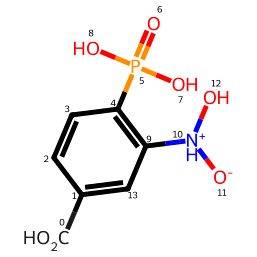 O=C(O)c1ccc(P(=O)(O)O)c([NH+]([O-])O)c1